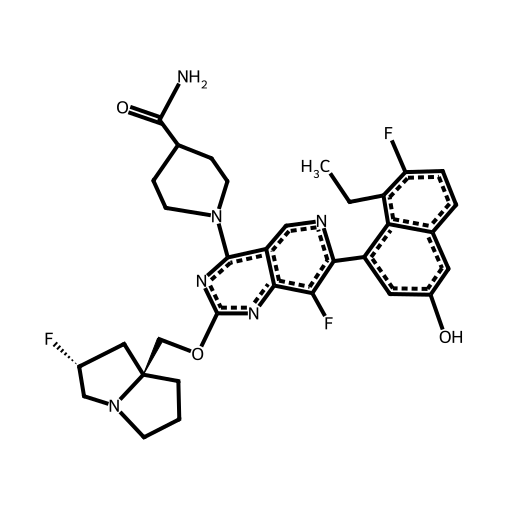 CCc1c(F)ccc2cc(O)cc(-c3ncc4c(N5CCC(C(N)=O)CC5)nc(OC[C@@]56CCCN5C[C@H](F)C6)nc4c3F)c12